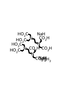 O=C(O)CN(CCN(CC(=O)O)CC(=O)O)CC(=O)O.O=C(O)CN(CCN(CC(=O)O)CC(=O)O)CC(=O)O.[MgH2].[NaH].[NaH]